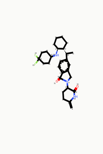 C=C1CCC(N2Cc3cc(C(C)[C@H]4CCCC[C@@H]4NC4CCC(F)(F)CC4)ccc3C2=O)C(=O)N1